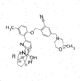 Cc1ccc(OCc2ccc(CN3CCO[C@H](C)C3)cc2C#N)c(-c2csc(N3C[C@H]4CC[C@@H](C3)[C@H]4C(=O)O)n2)c1